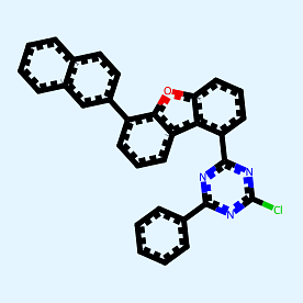 Clc1nc(-c2ccccc2)nc(-c2cccc3oc4c(-c5ccc6ccccc6c5)cccc4c23)n1